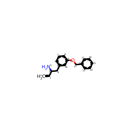 C=CC(N)Cc1cccc(OCc2ccccc2)c1